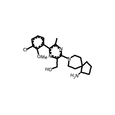 COc1c(Cl)cccc1-c1nc(CO)c(N2CCC3(CCC[C@H]3N)CC2)nc1C